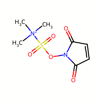 C[N+](C)(C)S(=O)(=O)ON1C(=O)C=CC1=O